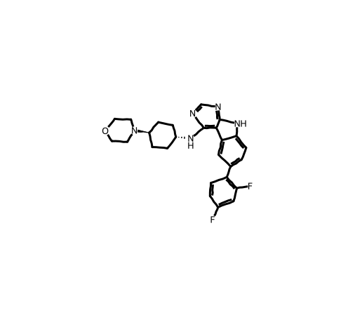 Fc1ccc(-c2ccc3[nH]c4ncnc(N[C@H]5CC[C@H](N6CCOCC6)CC5)c4c3c2)c(F)c1